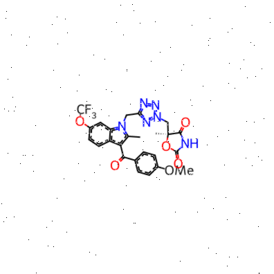 COc1ccc(C(=O)c2c(C)n(Cc3nnn(C[C@]4(C)OC(=O)NC4=O)n3)c3cc(OC(F)(F)F)ccc23)cc1